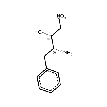 N[C@H](Cc1ccccc1)[C@H](O)C[N+](=O)[O-]